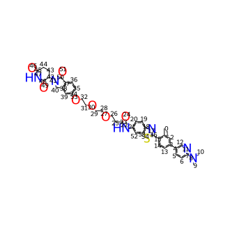 Cc1cc(-c2ccc(N(C)C)nc2)ccc1-c1nc2ccc(NC(=O)CCOCCOCCOc3ccc4c(c3)CN(C3CCC(=O)NC3=O)C4=O)cc2s1